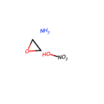 C1CO1.N.O=[N+]([O-])O